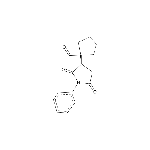 O=CC1([C@H]2CC(=O)N(c3ccccc3)C2=O)CCCC1